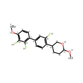 CCCCOc1ccc(-c2ccc(C3CCC(OCC)OC3)c(F)c2)c(F)c1F